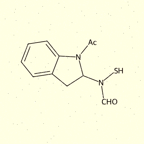 CC(=O)N1c2ccccc2CC1N(S)C=O